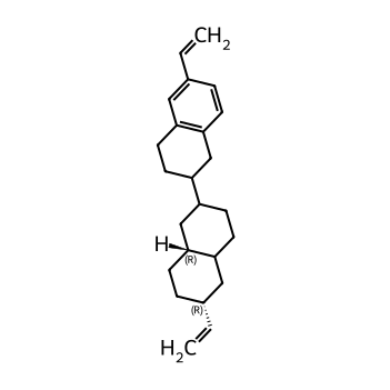 C=Cc1ccc2c(c1)CCC(C1CCC3C[C@H](C=C)CC[C@@H]3C1)C2